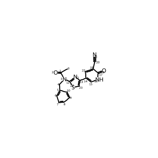 CC(=O)N(Cc1ccccc1)c1nc(-c2c[nH]c(=O)c(C#N)c2)cs1